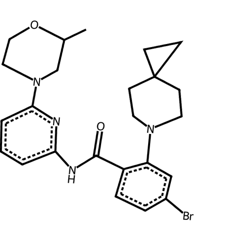 CC1CN(c2cccc(NC(=O)c3ccc(Br)cc3N3CCC4(CC3)CC4)n2)CCO1